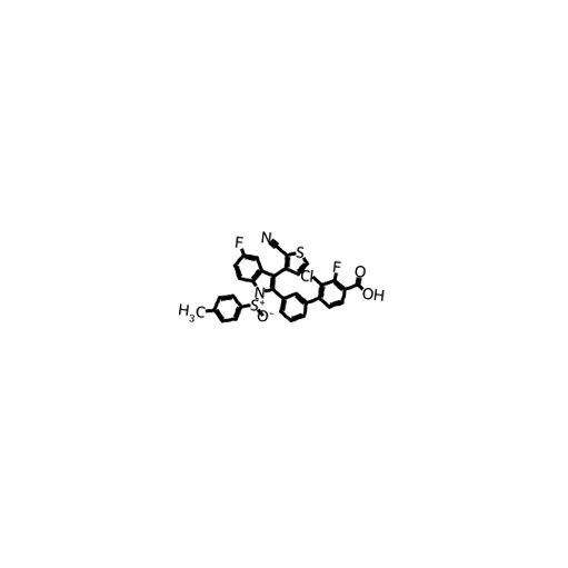 Cc1ccc([S+]([O-])n2c(-c3cccc(-c4ccc(C(=O)O)c(F)c4Cl)c3)c(-c3ccsc3C#N)c3cc(F)ccc32)cc1